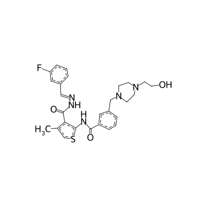 Cc1csc(NC(=O)c2cccc(CN3CCN(CCO)CC3)c2)c1C(=O)N/N=C/c1cccc(F)c1